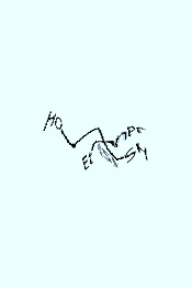 CCC[C@@](S)(CC)CCO